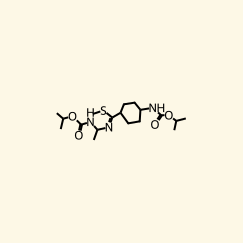 CS/C(=N\C(C)NC(=O)OC(C)C)C1CCC(NC(=O)OC(C)C)CC1